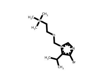 CC(C)c1c(Br)ncn1COCC[Si](C)(C)C